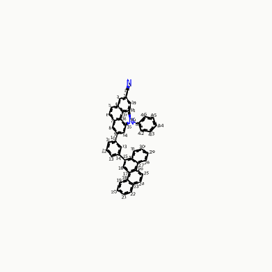 N#Cc1cc2ccc3cc(-c4cccc(-c5cc6c7ccccc7ccc6c6ccccc56)c4)cc4c3c2c(c1)n4-c1ccccc1